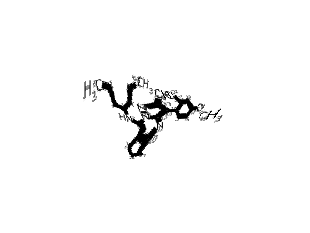 CCCC(CCC)Nc1c2c(nc3c(-c4ccc(OC)cc4Cl)c(C)nn13)CCC2